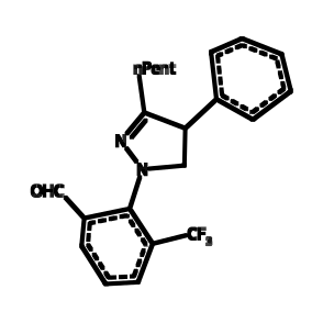 CCCCCC1=NN(c2c(C=O)cccc2C(F)(F)F)CC1c1ccccc1